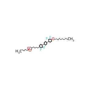 CCCCCCCCCCOc1ccc(-c2ccc(-c3ccc(CCCCC4COC(CCCCC)OC4)c(F)c3F)cc2)c(F)c1F